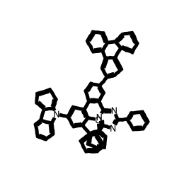 c1ccc(-c2nc(-c3ccccc3)nc(-c3cc(-c4ccc5c6ccccc6c6ccccc6c5c4)ccc3-c3cc(-n4c5ccccc5c5ccccc54)cc4c3oc3ccccc34)n2)cc1